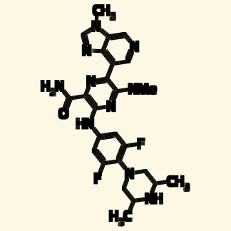 CNc1nc(Nc2cc(F)c(N3CC(C)NC(C)C3)c(F)c2)c(C(N)=O)nc1-c1cncc2c1ncn2C